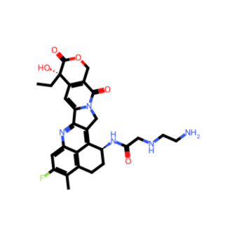 CC[C@@]1(O)C(=O)OCc2c1cc1n(c2=O)Cc2c-1nc1cc(F)c(C)c3c1c2[C@@H](NC(=O)CNCCN)CC3